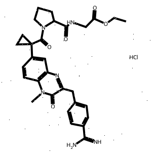 CCOC(=O)CNC(=O)C1CCCN1C(=O)C1(c2ccc3c(c2)nc(Cc2ccc(C(=N)N)cc2)c(=O)n3C)CC1.Cl